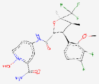 COc1c([C@H]2[C@H](C(=O)Nc3cc[n+](O)c(C(N)=O)c3)O[C@@](C)(C(F)(F)F)[C@H]2C)ccc(F)c1F